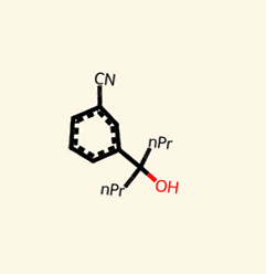 CCCC(O)(CCC)c1cccc(C#N)c1